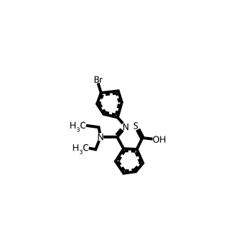 CCN(CC)C(=Nc1ccc(Br)cc1)c1ccccc1C(O)=S